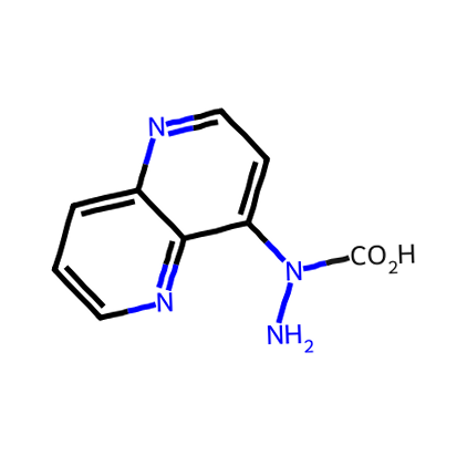 NN(C(=O)O)c1ccnc2cccnc12